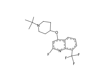 CC(C)(C)N1CCC(Oc2cc(F)nc3c(C(F)(F)F)cccc23)CC1